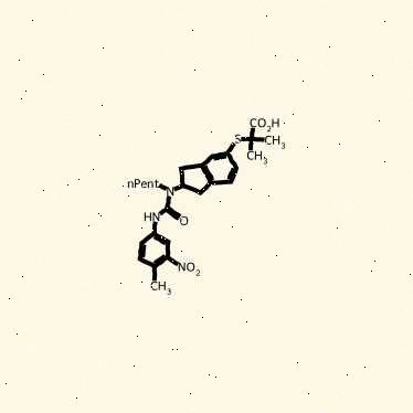 CCCCCN(C(=O)Nc1ccc(C)c([N+](=O)[O-])c1)C1Cc2ccc(SC(C)(C)C(=O)O)cc2C1